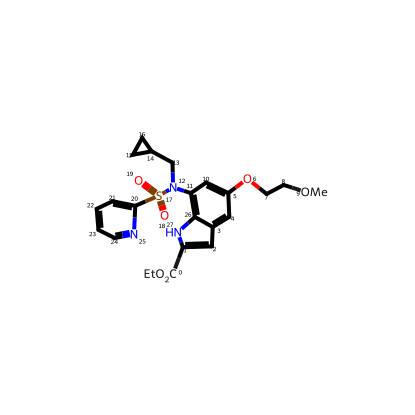 CCOC(=O)c1cc2cc(OCCOC)cc(N(CC3CC3)S(=O)(=O)c3ccccn3)c2[nH]1